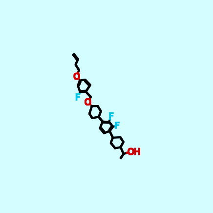 C=CCCOc1ccc(COC2CCC(c3ccc(C4CCC(C(C)O)CC4)c(F)c3F)CC2)c(F)c1